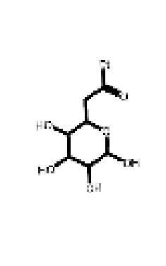 CCC(=O)CC1OC(O)C(O)C(O)C1O